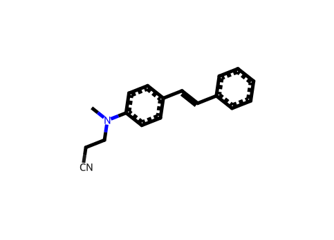 CN(CCC#N)c1ccc(/C=C/c2ccccc2)cc1